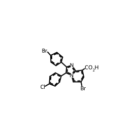 O=C(O)c1cc(Br)cn2c(-c3ccc(Cl)cc3)c(-c3ccc(Br)cc3)nc12